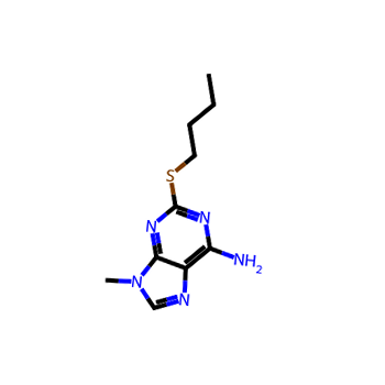 CCCCSc1nc(N)c2ncn(C)c2n1